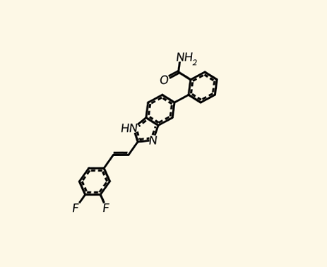 NC(=O)c1ccccc1-c1ccc2[nH]c(/C=C/c3ccc(F)c(F)c3)nc2c1